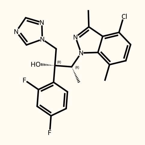 Cc1nn([C@H](C)[C@](O)(Cn2cncn2)c2ccc(F)cc2F)c2c(C)ccc(Cl)c12